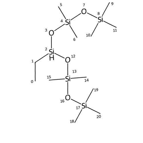 CC[SiH](O[Si](C)(C)O[Si](C)(C)C)O[Si](C)(C)O[Si](C)(C)C